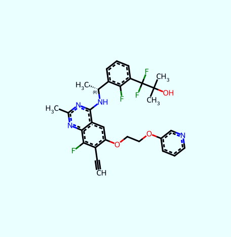 C#Cc1c(OCCOc2cccnc2)cc2c(N[C@H](C)c3cccc(C(F)(F)C(C)(C)O)c3F)nc(C)nc2c1F